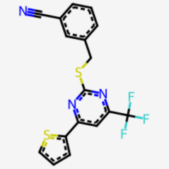 N#Cc1cccc(CSc2nc(-c3cccs3)cc(C(F)(F)F)n2)c1